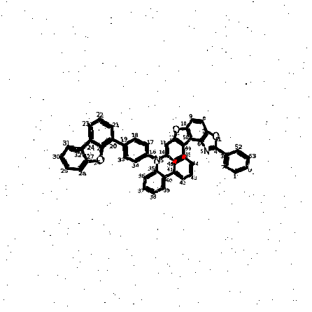 c1ccc(-c2nc3c(ccc4oc5cc(N(c6ccc(-c7cccc8c7oc7ccccc78)cc6)c6ccccc6-c6ccccc6)ccc5c43)o2)cc1